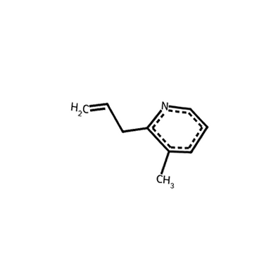 C=CCc1ncccc1C